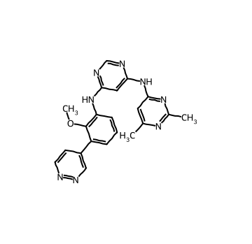 COc1c(Nc2cc(Nc3cc(C)nc(C)n3)ncn2)cccc1-c1ccnnc1